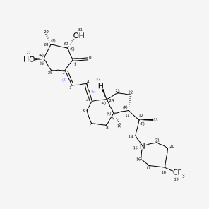 C=C1/C(=C\C=C2/CCC[C@]3(C)[C@@H]([C@@H](C)CN4CCC(C(F)(F)F)CC4)CC[C@@H]23)C[C@@H](O)[C@H](C)[C@@H]1O